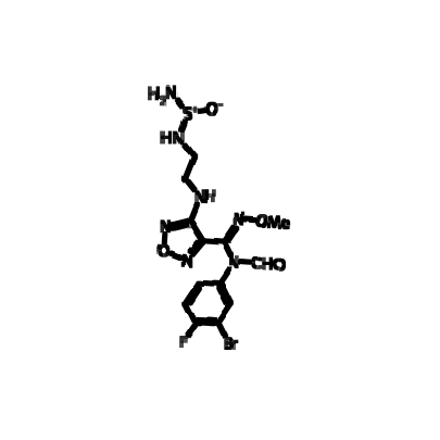 CO/N=C(/c1nonc1NCCN[S+](N)[O-])N(C=O)c1ccc(F)c(Br)c1